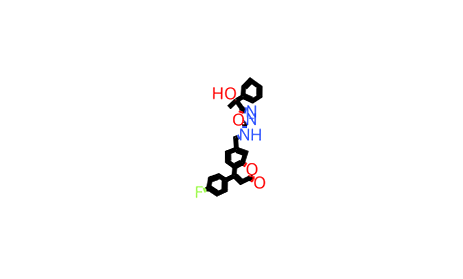 CC(O)(c1ccccc1)c1nnc(NCc2ccc3c(-c4ccc(F)cc4)cc(=O)oc3c2)o1